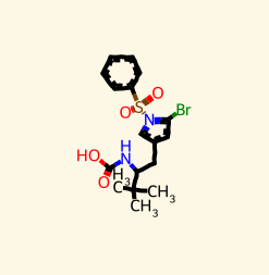 CC(C)(C)C(Cc1cc(Br)n(S(=O)(=O)c2ccccc2)c1)NC(=O)O